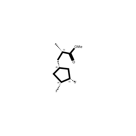 COC(=O)[C@@H](C)C[C@H]1C[C@@H](F)[C@@H](F)C1